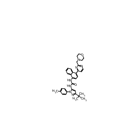 Cc1ccc(-n2nc(C(C)(C)C)cc2NC(=O)Nc2ccc(-c3ccnc(CN4CCOCC4)n3)c3ccccc23)cc1